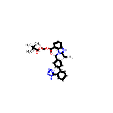 CCc1nc2cccc(C(=O)OCOC(=O)C(C)(C)C)c2n1Cc1ccc(-c2ccccc2-c2nnn[nH]2)cc1